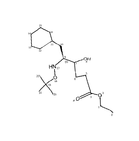 CCOC(=O)CCC(O)[C@H](CC1CCCCC1)NOC(C)(C)C